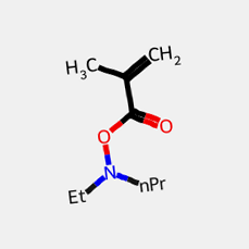 C=C(C)C(=O)ON(CC)CCC